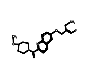 COC1CCN(C(=O)c2ccc3cc(OC/C(=C/F)CN)ccc3n2)CC1